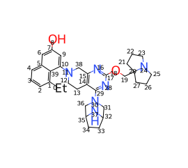 CCc1cccc2cc(O)cc(N3CCc4c(nc(OCC56CCCN5CCC6)nc4N4CC5CCC(C4)N5)C3)c12